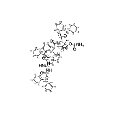 C[C@]1(COC(N)=O)[C@H](C(=O)OC(c2ccccc2)c2ccccc2)N2C(=O)/C(=C/c3cc(CN(C(=N)NC(=O)OC(c4ccccc4)c4ccccc4)C4OC(c5ccccc5)(c5ccccc5)O4)ccn3)C2S1(=O)=O